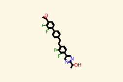 CC(O)c1ncc(-c2ccc(CCc3ccc(-c4ccc(C5CO5)c(F)c4F)cc3)c(F)c2F)cn1